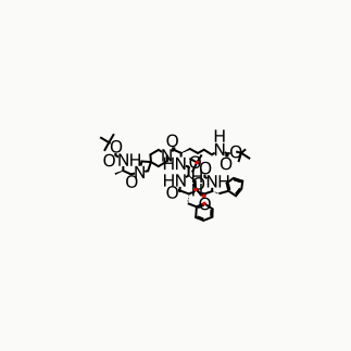 CC(C)C[C@@H](NC(=O)[C@@H](Cc1ccccc1)NC(=O)[C@@H](Cc1ccccc1)NC(=O)OC(C)(C)C)C(=O)N[C@H](CCCCNC(=O)OC(C)(C)C)C(=O)N1CCC2(CC1)CN(C(=O)[C@@H](C)NC(=O)OC(C)(C)C)C2